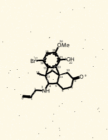 C=CCNC1C2CCC(=O)C[C@]23CC1(C)c1c(Br)cc(OC)c(O)c13